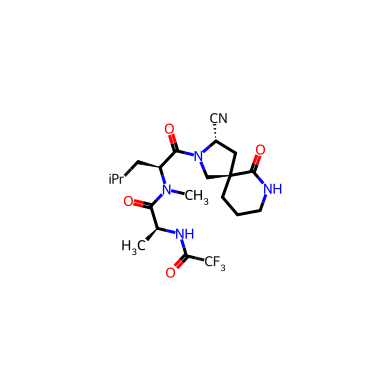 CC(C)C[C@@H](C(=O)N1C[C@@]2(CCCNC2=O)C[C@H]1C#N)N(C)C(=O)[C@H](C)NC(=O)C(F)(F)F